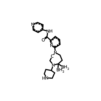 BC1(B)CCN(c2cccc(C(=O)Nc3ccncc3)n2)CCN1C1CCNCC1